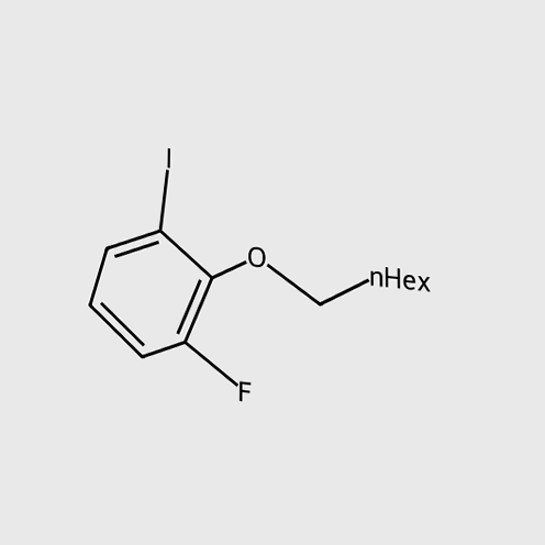 CCCCCCCOc1c(F)cccc1I